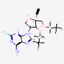 C#C[C@]1(CO[Si](C)(C)C(C)(C)C)OCC(n2cnc3c(N)nc(F)nc32)C1O[Si](C)(C)C(C)(C)C